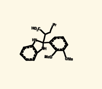 COc1cccc(C2(C(CC(C)C)C(=O)O)Nc3ccccc3N2)c1OC